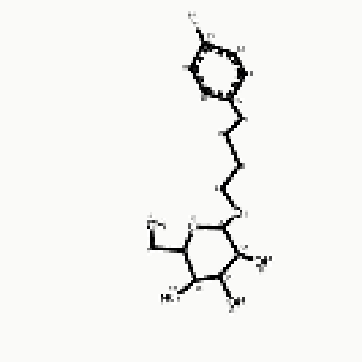 OCC1OC(OCCCCc2ccc(F)cc2)C(O)C(O)C1O